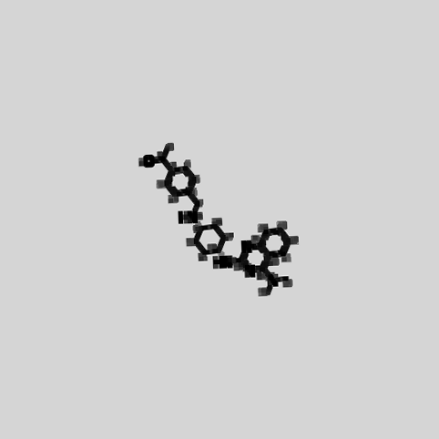 CC(=O)c1ccc(CN[C@H]2CC[C@@H](Nc3nc(N(C)C)c4ccccc4n3)CC2)cc1